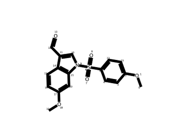 COc1ccc(S(=O)(=O)n2cc(C=O)c3ccc(OC)cc32)cc1